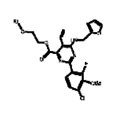 C=Cc1c(NCc2ccco2)nc(-c2ccc(Cl)c(OC)c2F)nc1C(=O)OCCOCC